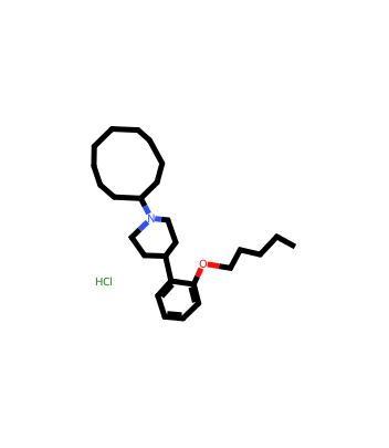 CCCCCOc1ccccc1C1CCN(C2CCCCCCCCC2)CC1.Cl